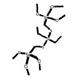 CC[Si](CC)(SC[Si](OC)(OC)OC)SC[Si](OC)(OC)OC